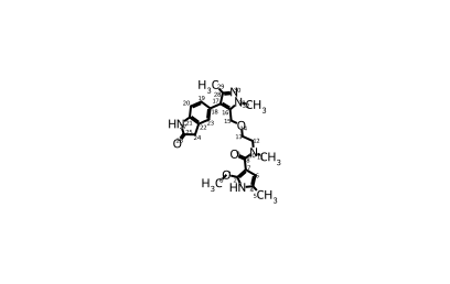 COc1[nH]c(C)cc1C(=O)N(C)CCOCc1c(-c2ccc3c(c2)CC(=O)N3)c(C)nn1C